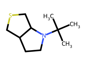 CC(C)(C)N1CCC2CSCC21